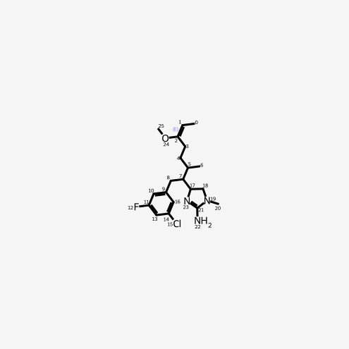 C/C=C(\CCC(C)C(Cc1cc(F)cc(Cl)c1)C1CN(C)C(N)=N1)OC